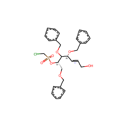 O=S(=O)(CCl)O[C@@H](COCc1ccccc1)C(OCc1ccccc1)[C@@H](/C=C/CO)OCc1ccccc1